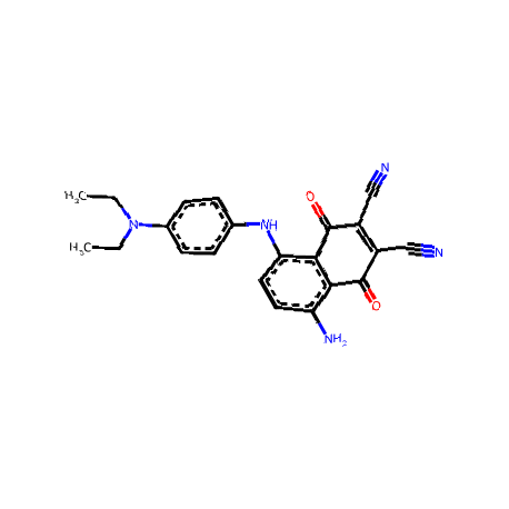 CCN(CC)c1ccc(Nc2ccc(N)c3c2C(=O)C(C#N)=C(C#N)C3=O)cc1